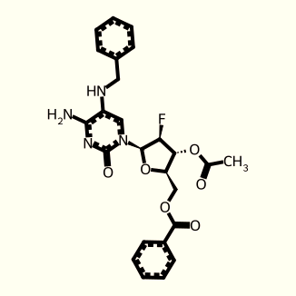 CC(=O)O[C@H]1[C@H](F)[C@H](n2cc(NCc3ccccc3)c(N)nc2=O)O[C@@H]1COC(=O)c1ccccc1